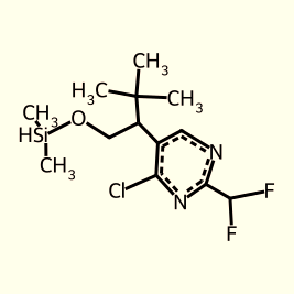 C[SiH](C)OCC(c1cnc(C(F)F)nc1Cl)C(C)(C)C